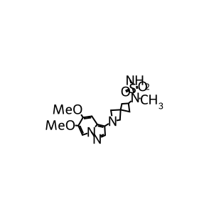 COc1cc2c(N3CC4(CC(N(C)S(N)(=O)=O)C4)C3)cnn2cc1OC